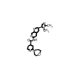 Cc1ncc(-c2cnc3cnc(NC(=O)c4ccnc(N5CCOCC5)c4)cc3c2)n1C